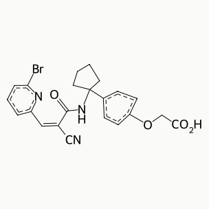 N#CC(=Cc1cccc(Br)n1)C(=O)NC1(c2ccc(OCC(=O)O)cc2)CCCC1